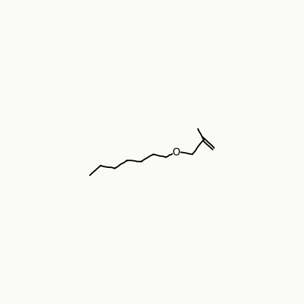 C=C(C)COCCCCCCC